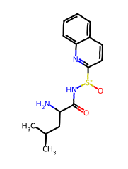 CC(C)CC(N)C(=O)N[S+]([O-])c1ccc2ccccc2n1